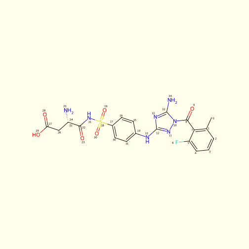 Cc1cccc(F)c1C(=O)n1nc(Nc2ccc(S(=O)(=O)NC(=O)[C@@H](N)CC(=O)O)cc2)nc1N